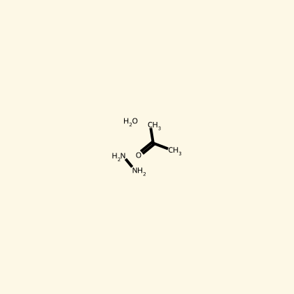 CC(C)=O.NN.O